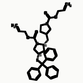 C=CCOC(=O)N1CCC(C[C@@H]2C[C@H](SC(c3ccccc3)(c3ccccc3)c3ccccc3)CN2C(=O)OCC=C)C1